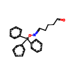 O=CCCCC=NO[Si](c1ccccc1)(c1ccccc1)c1ccccc1